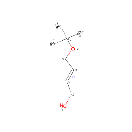 CC(C)[Si](OC/C=C/CO)(C(C)C)C(C)C